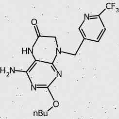 CCCCOc1nc(N)c2c(n1)N(Cc1ccc(C(F)(F)F)nc1)CC(=O)N2